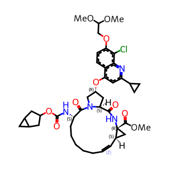 COC(=O)[C@@]12C[C@H]1/C=C\CCCCC[C@H](NC(=O)OC1CC3CC3C1)C(=O)N1C[C@H](Oc3cc(C4CC4)nc4c(Cl)c(OCC(OC)OC)ccc34)C[C@H]1C(=O)N2